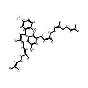 CC(C)=CCCC(C)=CCCC(C)=CCc1cc(O)ccc1Oc1ccc(O)cc1CC=C(C)CCC=C(C)CCC=C(C)C